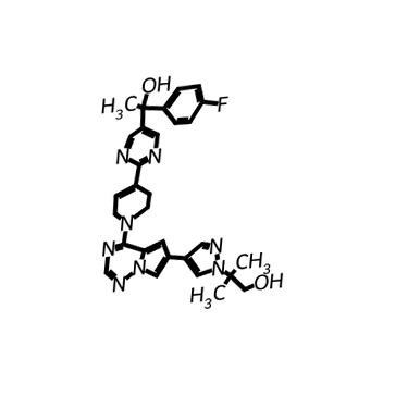 CC(O)(c1ccc(F)cc1)c1cnc(C2=CCN(c3ncnn4cc(-c5cnn(C(C)(C)CO)c5)cc34)CC2)nc1